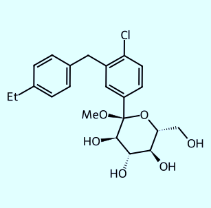 CCc1ccc(Cc2cc([C@]3(OC)O[C@H](CO)[C@@H](O)[C@H](O)[C@H]3O)ccc2Cl)cc1